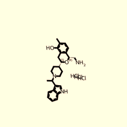 Cc1ccc2c(c1O)C[C@@H](C1CCN(C(C)c3c[nH]c4ccccc34)CC1)O[C@H]2CN.Cl.Cl.Cl